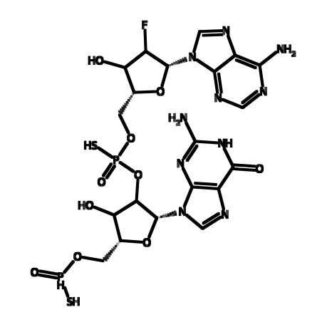 Nc1nc2c(ncn2[C@@H]2O[C@H](CO[PH](=O)S)C(O)C2OP(=O)(S)OC[C@H]2O[C@@H](n3cnc4c(N)ncnc43)C(F)C2O)c(=O)[nH]1